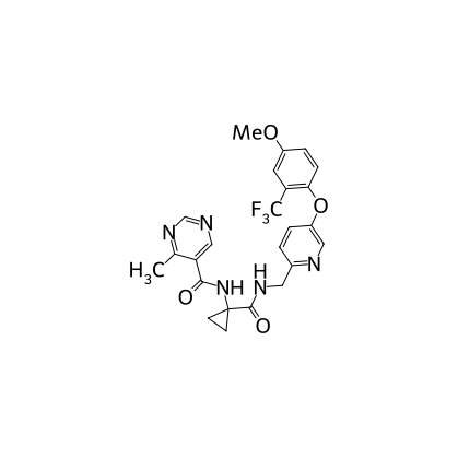 COc1ccc(Oc2ccc(CNC(=O)C3(NC(=O)c4cncnc4C)CC3)nc2)c(C(F)(F)F)c1